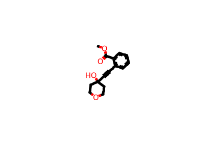 COC(=O)c1ccccc1C#CC1(O)CCOCC1